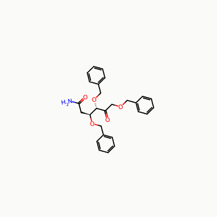 NC(=O)C[C@H](OCc1ccccc1)[C@H](OCc1ccccc1)C(=O)COCc1ccccc1